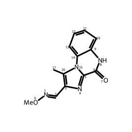 CON=Cc1nc2c(=O)[nH]c3ccccc3n2c1C